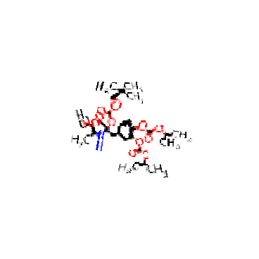 CCC(C)N[C@@](Cc1ccc(OC(=O)OC(C)C)c(OC(=O)OC(C)C)c1)(OC(=O)OCC(C)(C)C)C(=O)O